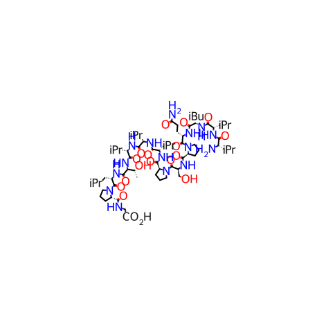 CC[C@H](C)[C@H](NC(=O)[C@@H](NC(=O)[C@@H](N)C(C)C)C(C)C)C(=O)N[C@@H](CCC(N)=O)C(=O)N1CCC[C@H]1C(=O)N[C@@H](CO)C(=O)N1CCC[C@H]1C(=O)N[C@H](C(=O)N[C@H](C(=O)N[C@H](C(=O)N[C@H](C(=O)N[C@@H](CC(C)C)C(=O)N1CCC[C@H]1C(=O)NCC(=O)O)[C@@H](C)O)C(C)C)C(C)C)C(C)C